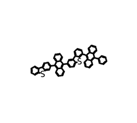 c1ccc(-c2c3ccccc3c(-c3cccc4c3sc3ccc(-c5c6ccccc6c(-c6ccc7c(c6)sc6ccccc67)c6ccccc56)cc34)c3ccccc23)cc1